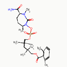 Cc1cccc(C)c1C(=O)OCC(C)(C)CC(C)(C)COS(=O)(=O)ON1C(=O)N(C)[C@H](C(N)=O)CC[C@@H]1C